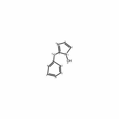 On1ccnc1Sc1ccccc1